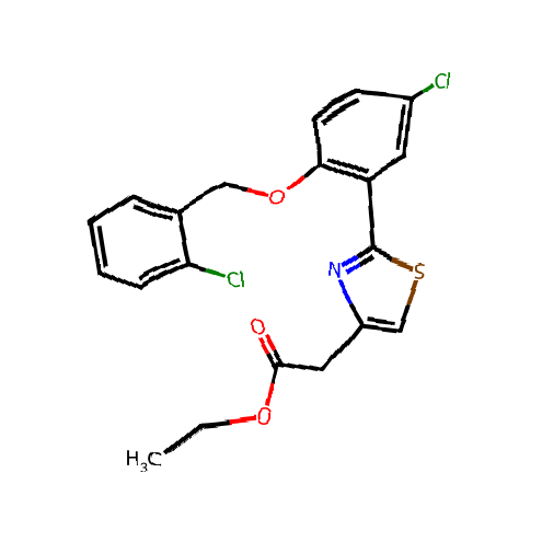 CCOC(=O)Cc1csc(-c2cc(Cl)ccc2OCc2ccccc2Cl)n1